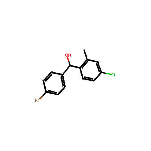 Cc1cc(Cl)ccc1C(O)c1ccc(Br)cc1